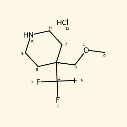 COCC1(C(F)(F)F)CCNCC1.Cl